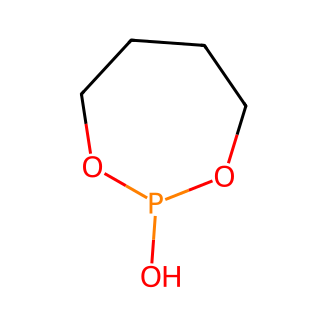 OP1OCCCCO1